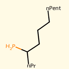 CCCCCCCCC(P)CCC